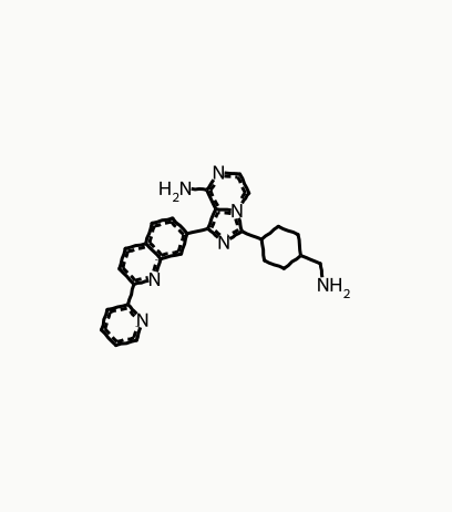 NCC1CCC(c2nc(-c3ccc4ccc(-c5ccccn5)nc4c3)c3c(N)nccn23)CC1